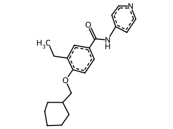 CCc1cc(C(=O)Nc2ccncc2)ccc1OCC1CCCCC1